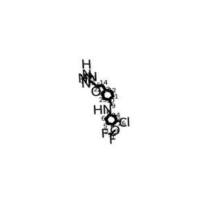 FC(F)Oc1ccc(NCc2ccc3cc(-c4nn[nH]n4)oc3c2)cc1Cl